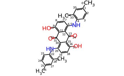 Cc1ccc(Nc2ccc(O)c3c2C(=O)c2c(O)ccc(Nc4ccc(C)cc4C)c2C3=O)c(C)c1